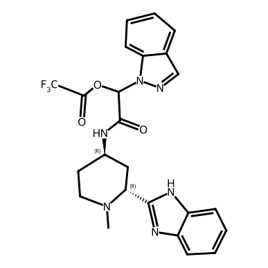 CN1CC[C@@H](NC(=O)C(OC(=O)C(F)(F)F)n2ncc3ccccc32)C[C@@H]1c1nc2ccccc2[nH]1